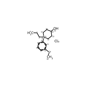 CCC[N+]1(c2cccc(SC)c2)CCC(O)CC1.[Cl-]